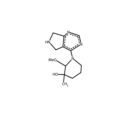 COC1N(c2ncnc3c2CNC3)CCCC1(C)O